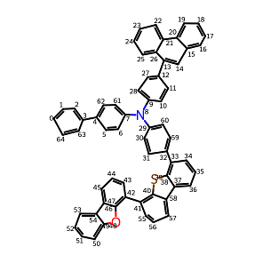 c1ccc(-c2ccc(N(c3ccc(-c4cc5ccccc5c5ccccc45)cc3)c3ccc(-c4cccc5c4sc4c(-c6cccc7c6oc6ccccc67)cccc45)cc3)cc2)cc1